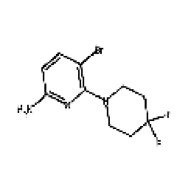 Nc1ccc(Br)c(N2CCC(F)(F)CC2)n1